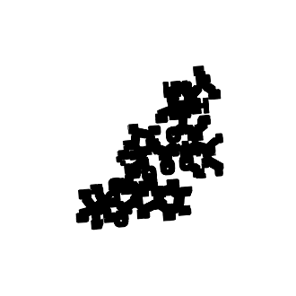 CC[C@H](C)[C@@H]([C@@H](CC(=O)N1CCC[C@H]1[C@H](OC)[C@@H](C)C(=O)N[C@@H](Cc1ccccc1)C(=O)OC(C)(C)C(C)(C)C)OC)N(C)C(=O)[C@@H](NC(=N)N(C)C)C(C)C